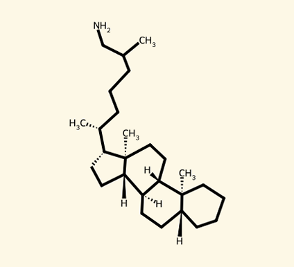 CC(CN)CCC[C@@H](C)[C@H]1CC[C@H]2[C@@H]3CC[C@H]4CCCC[C@]4(C)[C@H]3CC[C@]12C